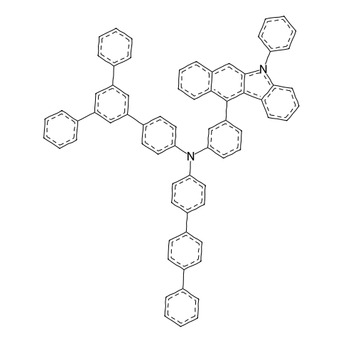 c1ccc(-c2ccc(-c3ccc(N(c4ccc(-c5cc(-c6ccccc6)cc(-c6ccccc6)c5)cc4)c4cccc(-c5c6ccccc6cc6c5c5ccccc5n6-c5ccccc5)c4)cc3)cc2)cc1